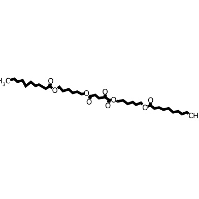 CCCCCCCCCC(=O)OCCCCCCOC(=O)CCC(=O)C(=O)OCCCCCCOC(=O)CCCCCCCCC